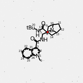 Cn1cc(C(=O)NCC2CC3CCC(C2)N3CC(=O)NC(C)(C)C)c2ccccc21